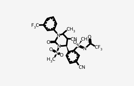 CC1C(C#N)[C@@H](c2ccc(C#N)cc2[S@](C)(=O)=NC(=O)C(F)(F)F)N(S(C)(=O)=O)C(=O)N1c1cccc(C(F)(F)F)c1